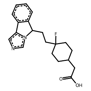 O=C(O)CC1CCC(F)(CCC2c3ccccc3-c3cncn32)CC1